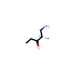 CCC(=O)[C@@H](C)CN